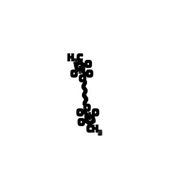 CC1CC(=O)N(C(=O)OCCCCCCOC(=O)N2C(=O)CC(C)C2=O)C1=O